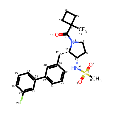 CS(=O)(=O)N[C@H]1CCN(C(=O)C2(C(F)(F)F)CCC2)[C@H]1Cc1cccc(-c2cccc(F)c2)c1